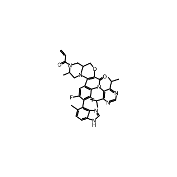 C=CC(=O)N1CC2COc3c(c4cc(F)c(-c5c(C)ccc6[nH]cnc56)c(F)c4n(-c4c(C(C)C)ncnc4C(C)C)c3=O)N2CC1C